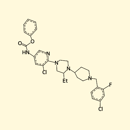 CCC1CN(c2ncc(NC(=O)Oc3ccccc3)cc2Cl)CCN1C1CCN(Cc2ccc(Cl)cc2F)CC1